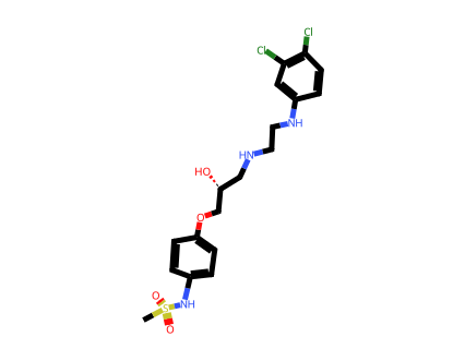 CS(=O)(=O)Nc1ccc(OC[C@H](O)CNCCNc2ccc(Cl)c(Cl)c2)cc1